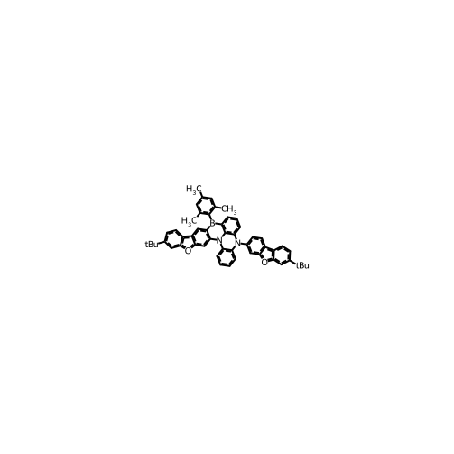 Cc1cc(C)c(B2c3cc4c(cc3N3c5ccccc5N(c5ccc6c(c5)oc5cc(C(C)(C)C)ccc56)c5cccc2c53)oc2cc(C(C)(C)C)ccc24)c(C)c1